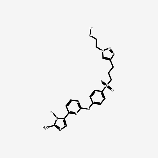 CCOCCn1cc(CCCS(=O)(=O)c2ccc(Nc3nccc(-c4cnc(C)n4C(C)C)n3)cc2)nn1